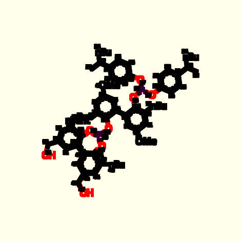 CCCCCc1cc(OC)cc(-c2cc(OC)cc(CCCC)c2OP(Oc2ccc(C(C)CCCC)cc2)Oc2ccc(C(C)CCCC)cc2)c1Op1oc2c(CCCC)cc(CO)cc2c2cc(CO)cc(CCCC)c2o1